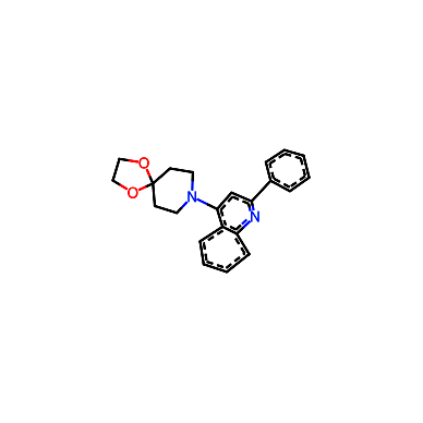 c1ccc(-c2cc(N3CCC4(CC3)OCCO4)c3ccccc3n2)cc1